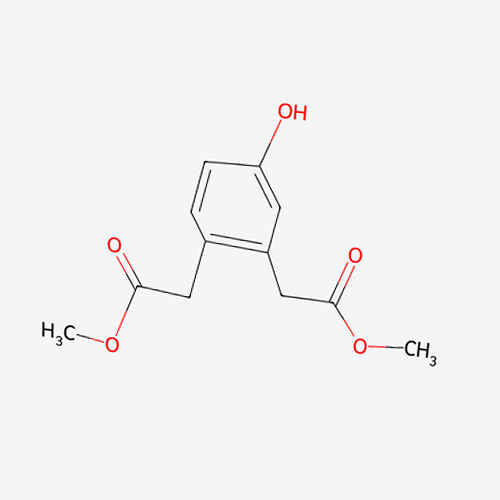 COC(=O)Cc1ccc(O)cc1CC(=O)OC